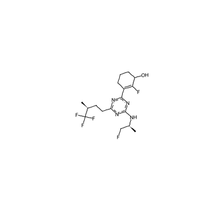 C[C@@H](CF)Nc1nc(CC[C@H](C)C(F)(F)F)nc(C2=C(F)C(O)CCC2)n1